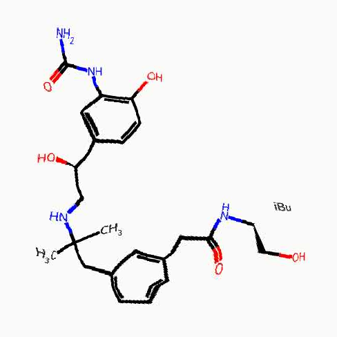 CC[C@H](C)[C@@H](CO)NC(=O)Cc1cccc(CC(C)(C)NC[C@@H](O)c2ccc(O)c(NC(N)=O)c2)c1